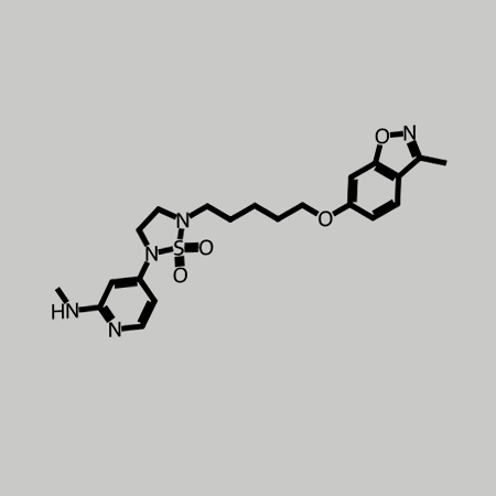 CNc1cc(N2CCN(CCCCCOc3ccc4c(C)noc4c3)S2(=O)=O)ccn1